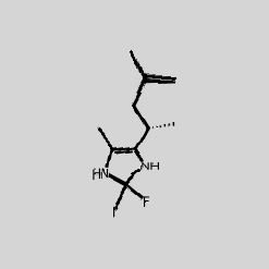 C=C(C)C[C@H](C)C1=C(C)NC(F)(I)N1